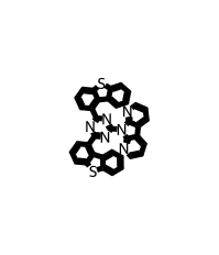 c1ccc2c(c1)sc1cccc(-c3nc(-c4cccc5sc6ccccc6c45)nc(-n4c5ncccc5c5cccnc54)n3)c12